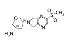 CS(=O)(=O)c1cnc2c(n1)CN([C@H]1COC[C@@H](N)C1)C2